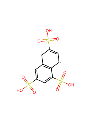 O=S(=O)(O)C1=C[CH]c2c(cc(S(=O)(=O)O)cc2S(=O)(=O)O)C1